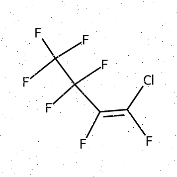 FC(Cl)=C(F)C(F)(F)C(F)(F)F